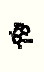 COC(=S)c1cccnc1-c1c(C(F)(F)F)ccc(Cl)c1C=O